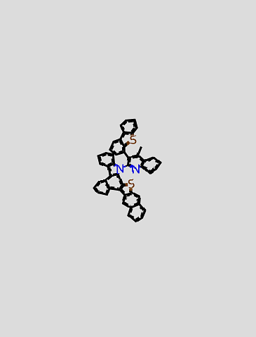 Cc1c(-c2cccc3c2sc2ccccc23)c(-n2c3ccccc3c3c4ccccc4c4c5cc6ccccc6cc5sc4c32)nc2ccccc12